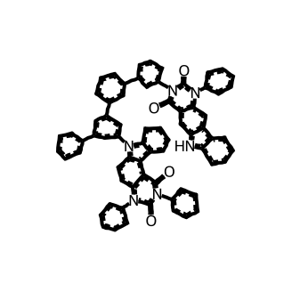 O=c1c2cc3[nH]c4ccccc4c3cc2n(-c2ccccc2)c(=O)n1-c1cccc(-c2cccc(-c3cc(-c4ccccc4)cc(-n4c5ccccc5c5c6c(=O)n(-c7ccccc7)c(=O)n(-c7ccccc7)c6ccc54)c3)c2)c1